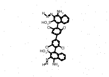 [H]/N=N/c1c(S(=O)(=O)O)c(-c2c(Cl)cc(-c3cc(Cl)c(-c4c(S(=O)(=O)O)c(/N=N/[H])c(N)c5ccccc45)c(Cl)c3)cc2Cl)c2ccccc2c1N